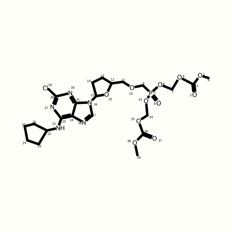 COC(=O)OCOP(=O)(COCC1CCC(n2cnc3c(NC4CCCC4)nc(Cl)nc32)O1)OCOC(=O)OC